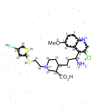 COc1ccc2ncc(Cl)c(C(N)CCC3CCN(CCSc4cc(F)cs4)CC3C(=O)O)c2c1